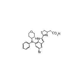 O=C(O)CC1CSC(c2cc3cc(Br)cc(N(c4ccccc4)C4CCOCC4)c3[nH]2)=N1